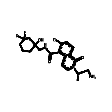 C[C@H](CN)n1ccc2c(C(=O)NCC3(O)CCCC(F)(F)C3)c(Cl)ccc2c1=O